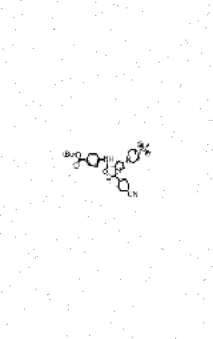 CC(C)(C)OC(=O)c1ccc(NC(=O)[C@@H]2C[C@H](N3CCN(S(C)(=O)=O)CC3)CN2C(=O)C2CCC(C#N)CC2)cc1